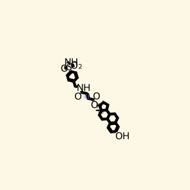 C[C@]12CCC3c4ccc(O)cc4CCC3C1CC[C@@H]2OC(=O)/C=C/C(=O)NCc1ccc(S(N)(=O)=O)cc1